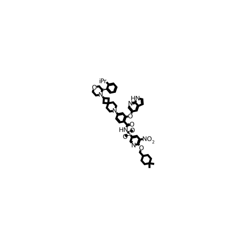 CC(C)c1ccccc1[C@@H]1COCCN1C1CC2(CCN(c3ccc(C(=O)NS(=O)(=O)c4cnc(OCC5CCC(C)(C)CC5)c([N+](=O)[O-])c4)c(Oc4cnc5[nH]ccc5c4)c3)CC2)C1